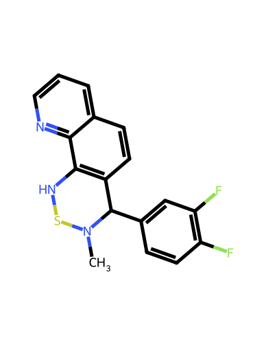 CN1SNc2c(ccc3cccnc23)C1c1ccc(F)c(F)c1